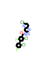 O=C(Nc1cnc2ccc(Cl)nc2c1)c1cc(F)c(-c2ccc(F)cc2Cl)cc1Cl